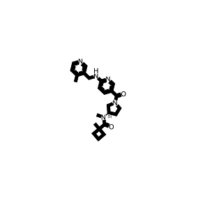 Cc1ccncc1CNc1ccc(C(=O)N2CC[C@H](N(C)C(=O)C3(C)CCC3)C2)cn1